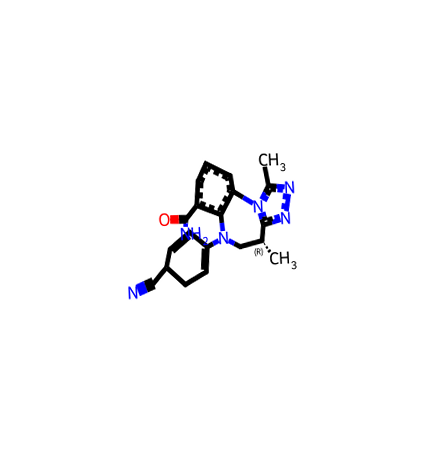 Cc1nnc2n1-c1cccc(C(N)=O)c1N(C1=CCC(C#N)C=C1)C[C@H]2C